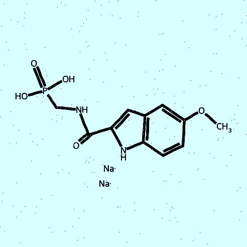 COc1ccc2[nH]c(C(=O)NCP(=O)(O)O)cc2c1.[Na].[Na]